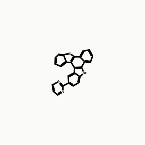 c1cnc(-c2ccc3[nH]c4c5ccccc5c5sc6ccccc6c5c4c3c2)nc1